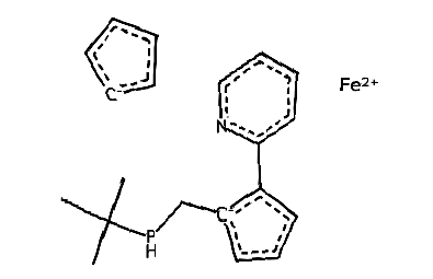 CC(C)(C)PC[c-]1cccc1-c1ccccn1.[Fe+2].c1cc[cH-]c1